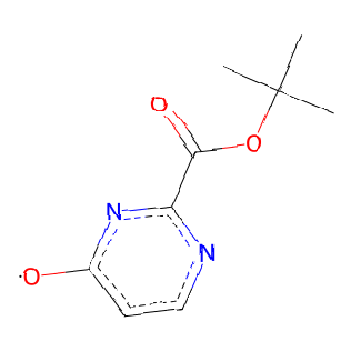 CC(C)(C)OC(=O)c1nccc([O])n1